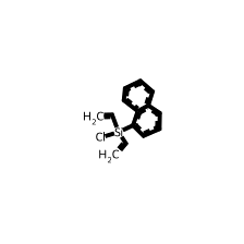 C=C[Si](Cl)(C=C)c1cccc2ccccc12